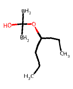 BC(B)(O)OC(CC)CCC